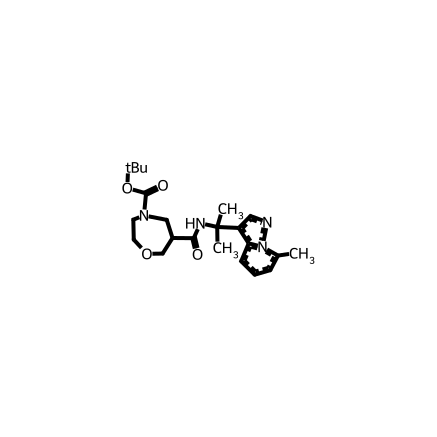 Cc1cccc2c(C(C)(C)NC(=O)C3COCCN(C(=O)OC(C)(C)C)C3)cnn12